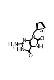 Nc1nc2c([nH]c(=O)n2Cc2cccs2)c(=O)[nH]1